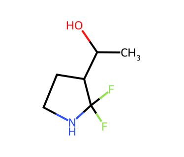 CC(O)C1CCNC1(F)F